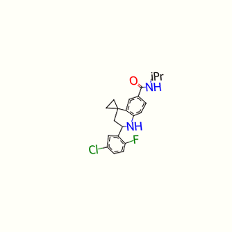 CC(C)NC(=O)c1ccc2c(c1)C1(CC1)CC(c1cc(Cl)ccc1F)N2